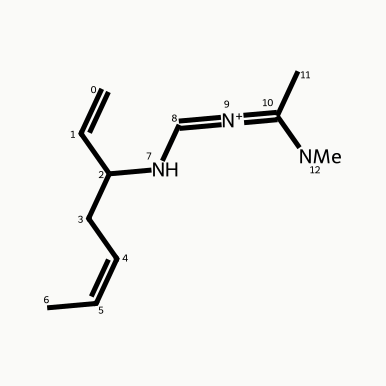 C=CC(C/C=C\C)NC=[N+]=C(C)NC